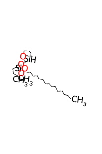 CCCCCCCCCCCCCCCCO[Si]1(OC[SiH]2CCCCO2)CCCC(C)(C)O1